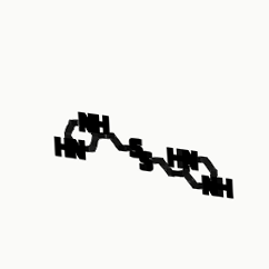 C1CNC(CCSSCCC2CNCCN2)CN1